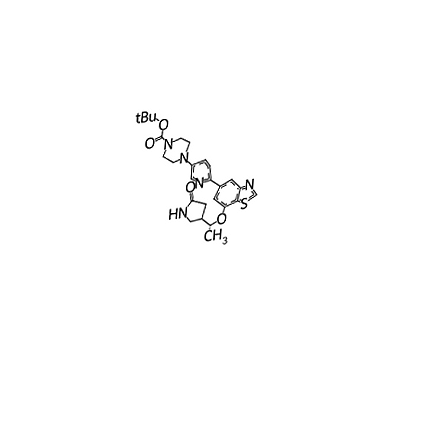 C[C@@H](Oc1cc(-c2ccc(N3CCN(C(=O)OC(C)(C)C)CC3)cn2)cc2ncsc12)C1CNC(=O)C1